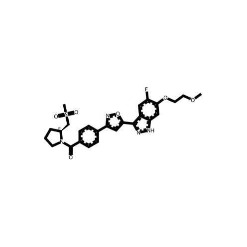 COCCOc1cc2[nH]nc(-c3cc(-c4ccc(C(=O)N5CCC[C@H]5CS(C)(=O)=O)cc4)no3)c2cc1F